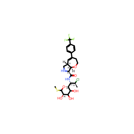 CSC1O[C@H]([C@H](NC(=O)[C@H]2NC[C@@H]3C=C(c4ccc(C(F)(F)F)cc4)CCO[C@@H]23)[C@H](C)Cl)C(O)C(O)[C@H]1O